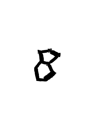 [c]1cccc2nnnn12